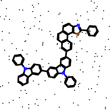 c1ccc(-c2nc3ccc4ccc5cc(-c6ccc7c(c6)c6cc(-c8ccc9c(c8)c8ccccc8n9-c8ccccc8)ccc6n7-c6ccccc6)ccc5c4c3s2)cc1